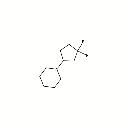 FC1(F)CC[C](N2CCCCC2)C1